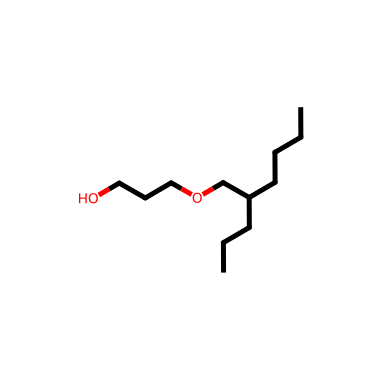 CCCCC(CCC)COCCCO